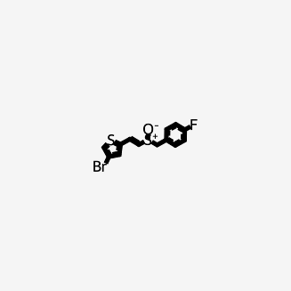 [O-][S+](C=Cc1cc(Br)cs1)Cc1ccc(F)cc1